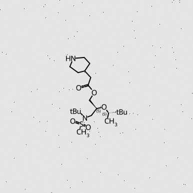 C[C@H](O[C@H](COC(=O)CC1CCNCC1)CN(C(C)(C)C)S(C)(=O)=O)C(C)(C)C